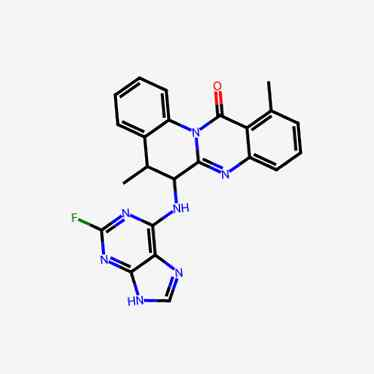 Cc1cccc2nc3n(c(=O)c12)-c1ccccc1C(C)C3Nc1nc(F)nc2[nH]cnc12